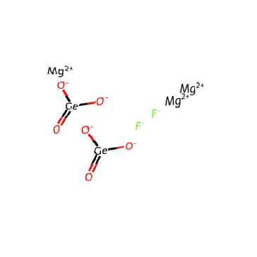 [F-].[F-].[Mg+2].[Mg+2].[Mg+2].[O]=[Ge]([O-])[O-].[O]=[Ge]([O-])[O-]